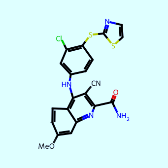 COc1[c]cc2c(Nc3ccc(Sc4nccs4)c(Cl)c3)c(C#N)c(C(N)=O)nc2c1